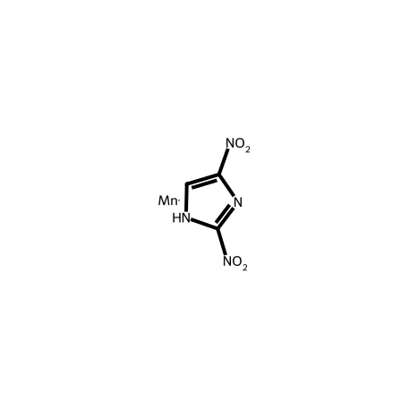 O=[N+]([O-])c1c[nH]c([N+](=O)[O-])n1.[Mn]